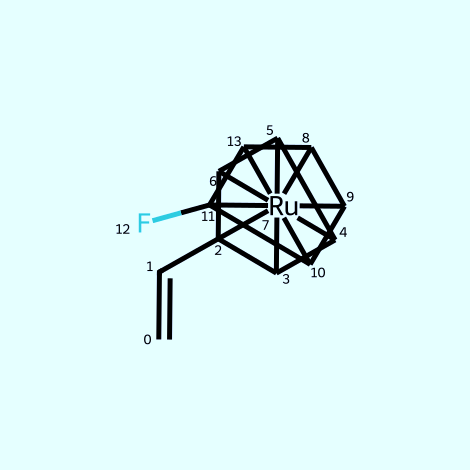 C=C[C]12[CH]3[CH]4[CH]5[CH]1[Ru]45321678[CH]2[CH]1[CH]6[C]7(F)[CH]28